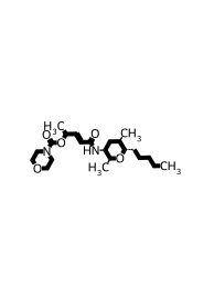 CCCCC[C@@H]1O[C@H](C)[C@H](NC(=O)C=CC(C)OC(=O)N2CCOCC2)C[C@@H]1C